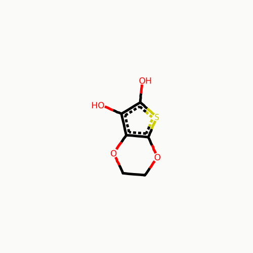 Oc1sc2c(c1O)OCCO2